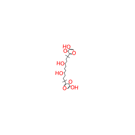 CC(C)(CCC(O)CCCC(O)CCC(C)(C)c1cocc(O)c1=O)c1cocc(O)c1=O